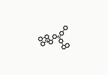 c1ccc(-c2ccc(N(c3ccc(-c4cccc5ccccc45)cc3)c3cccc(-c4cccc5c4c4cccc(-c6ccccc6)c4n5-c4ccccc4)c3)cc2)cc1